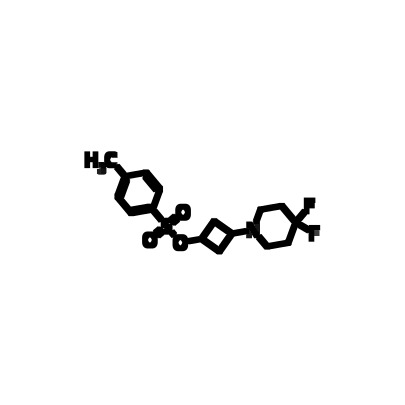 Cc1ccc(S(=O)(=O)OC2CC(N3CCC(F)(F)CC3)C2)cc1